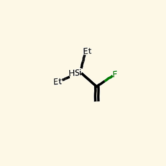 C=C(F)[SiH](CC)CC